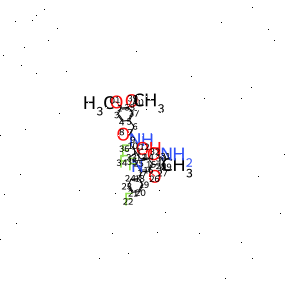 COc1ccc(CC(=O)NC[C@](O)(c2cc3c(c(-c4ccc(F)cc4)n2)OC[C@]3(C)C(N)=O)C(F)(F)F)cc1OC